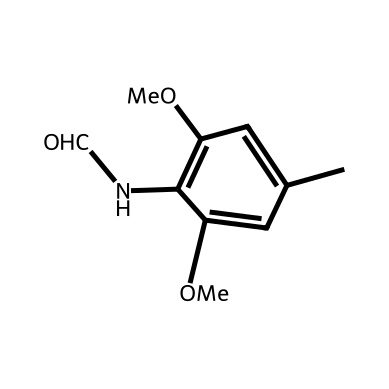 COc1cc(C)cc(OC)c1NC=O